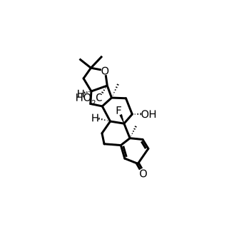 CC1(C)C[C@@H]2CC3[C@@H]4CCC5=CC(=O)C=C[C@]5(C)[C@@]4(F)[C@@H](O)C[C@]3(C)[C@]2(C(=O)O)O1